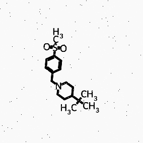 CC(C)(C)C1CCN(Cc2ccc(S(C)(=O)=O)cc2)CC1